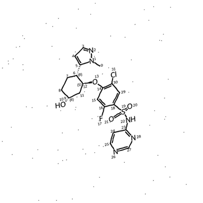 Cn1nccc1[C@H]1CC[C@@H](O)C[C@@H]1Oc1cc(F)c(S(=O)(=O)Nc2ccncn2)cc1Cl